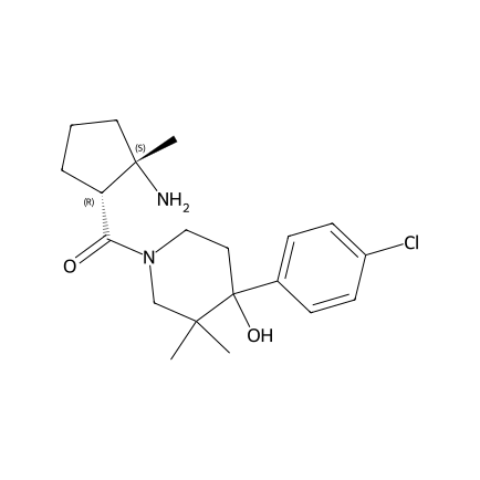 CC1(C)CN(C(=O)[C@@H]2CCC[C@]2(C)N)CCC1(O)c1ccc(Cl)cc1